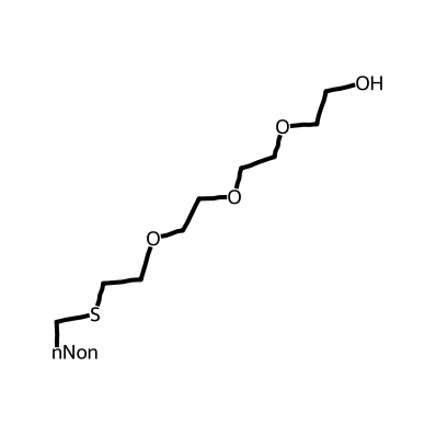 CCCCCCCCCCSCCOCCOCCOCCO